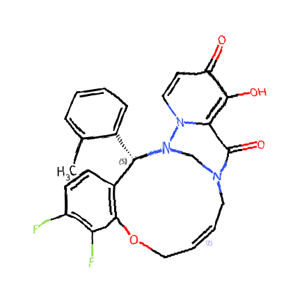 Cc1ccccc1[C@H]1c2ccc(F)c(F)c2OC/C=C\CN2CN1n1ccc(=O)c(O)c1C2=O